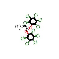 C[CH2][Al]([O]c1c(Cl)c(Cl)c(Cl)c(Cl)c1Cl)[O]c1c(Cl)c(Cl)c(Cl)c(Cl)c1Cl